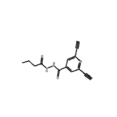 C#Cc1cc(C(=O)NNC(=O)CCC)cc(C#C)n1